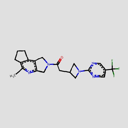 Cc1nc2c(c3c1CCC3)CN(C(=O)CC1CN(c3ncc(C(F)(F)F)cn3)C1)C2